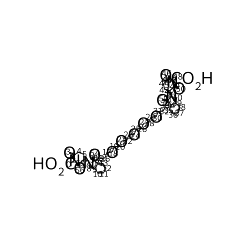 O=C(O)N1C(=O)CCC(N2C=C3C=CC=CC3(CCCOCCOCCOCCOCCOCCCC34C=CC=CC3=CN(C3CCC(=O)N(C(=O)O)C3=O)C4=O)C2=O)C1=O